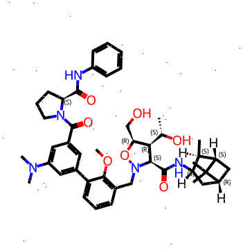 COc1c(CN2O[C@@H](CO)[C@@H]([C@H](C)O)[C@H]2C(=O)N[C@H]2C[C@H]3C[C@@H]([C@@H]2C)C3(C)C)cccc1-c1cc(C(=O)N2CCC[C@H]2C(=O)Nc2ccccc2)cc(N(C)C)c1